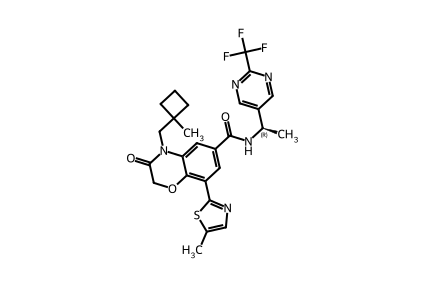 Cc1cnc(-c2cc(C(=O)N[C@H](C)c3cnc(C(F)(F)F)nc3)cc3c2OCC(=O)N3CC2(C)CCC2)s1